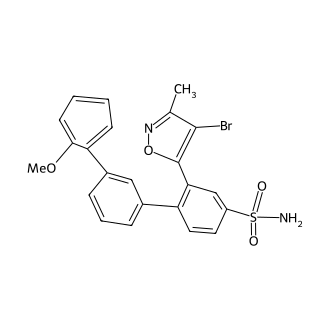 COc1ccccc1-c1cccc(-c2ccc(S(N)(=O)=O)cc2-c2onc(C)c2Br)c1